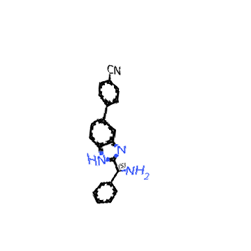 N#Cc1ccc(-c2ccc3[nH]c([C@@H](N)c4ccccc4)nc3c2)cc1